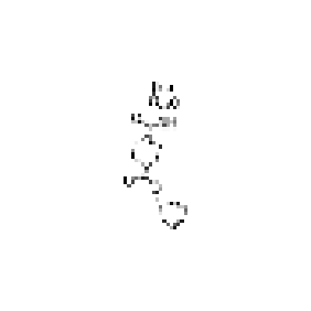 CC(C)(C)OC(=O)NC(=O)N1CCC(C(=O)OCc2ccccc2)CC1